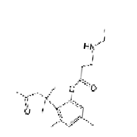 CCNCCC(=O)Oc1cc(C)cc(C)c1C(C)(C)CC(C)=O